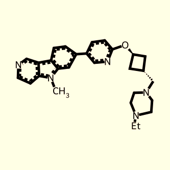 CCN1CCN(C[C@H]2C[C@H](Oc3ccc(-c4ccc5c6cnccc6n(C)c5c4)cn3)C2)CC1